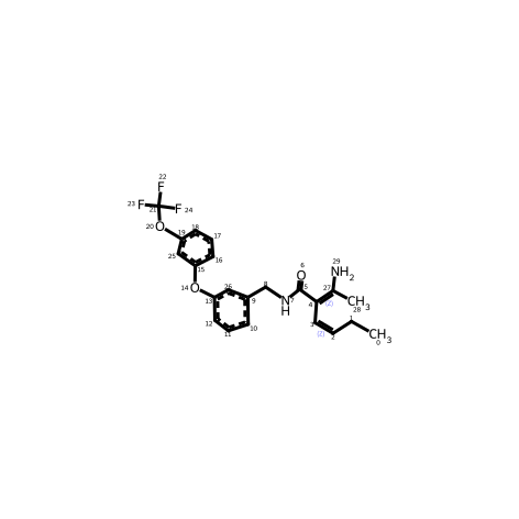 CC/C=C\C(C(=O)NCc1cccc(Oc2cccc(OC(F)(F)F)c2)c1)=C(/C)N